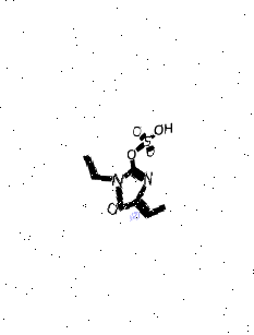 C/C=C1\N=C(OS(=O)(=O)O)N(CC)C1=O